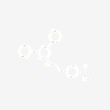 CS(=O)(=O)c1ccc(CCNc2cc(-c3cccnc3)nc(-c3ccccn3)n2)cc1